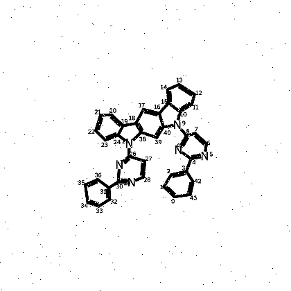 c1ccc(-c2nccc(-n3c4ccccc4c4cc5c6ccccc6n(-c6ccnc(-c7ccccc7)n6)c5cc43)n2)cc1